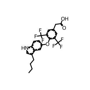 CCCCc1c[nH]c2ccc(Oc3c(C(F)(F)F)cc(CC(=O)O)cc3C(F)(F)F)cc12